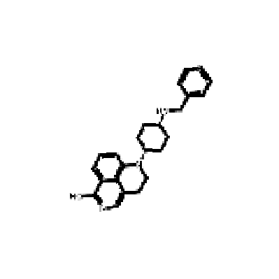 Oc1ncc2c3c(cccc13)N([C@H]1CC[C@H](NCc3ccccc3)CC1)CC2